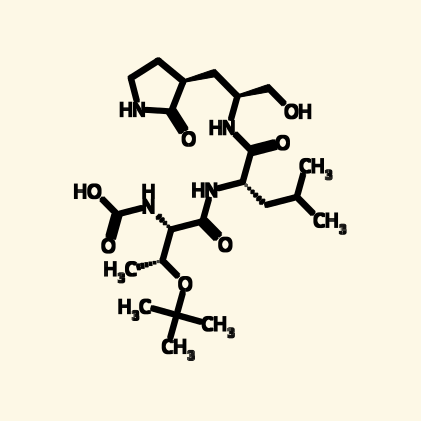 CC(C)C[C@H](NC(=O)[C@@H](NC(=O)O)[C@@H](C)OC(C)(C)C)C(=O)N[C@H](CO)C[C@@H]1CCNC1=O